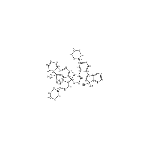 CCC1(CC)c2ccccc2-c2c1c1c(c3cc(N4CCOCC4)ccc23)OC(c2ccc(N3CCOCC3)cc2)(c2ccc3c(c2)C(C)(C)c2ccccc2-3)C=C1